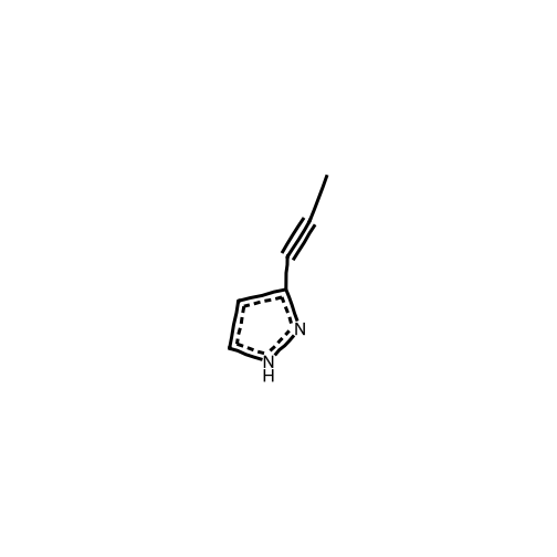 CC#Cc1cc[nH]n1